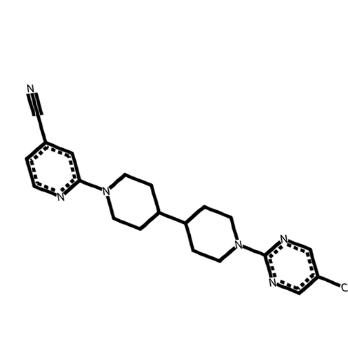 Cc1cnc(N2CCC(C3CCN(c4cc(C#N)ccn4)CC3)CC2)nc1